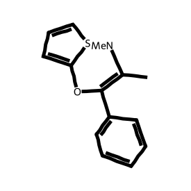 CNC(C)=C(Oc1cccs1)c1ccccc1